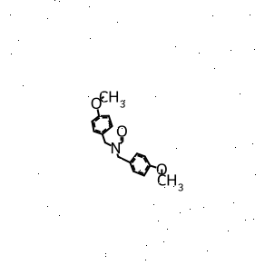 COc1ccc(CN(C=O)Cc2ccc(OC)cc2)cc1